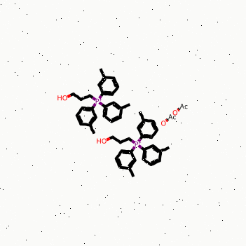 CC(=O)[O-].CC(=O)[O-].Cc1cccc([P+](CCCO)(c2cccc(C)c2)c2cccc(C)c2)c1.Cc1cccc([P+](CCCO)(c2cccc(C)c2)c2cccc(C)c2)c1